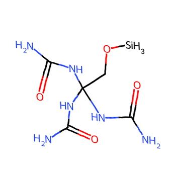 NC(=O)NC(CO[SiH3])(NC(N)=O)NC(N)=O